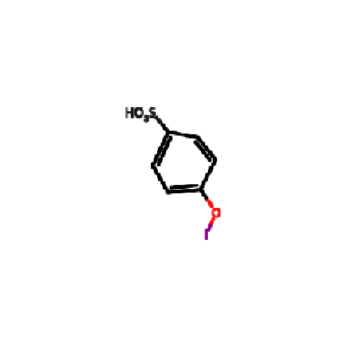 O=S(=O)(O)c1ccc(OI)cc1